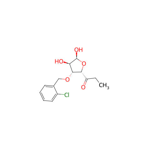 CCC(=O)[C@H]1O[C@H](O)[C@H](O)[C@H]1OCc1ccccc1Cl